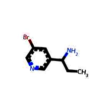 CCC(N)c1cncc(Br)c1